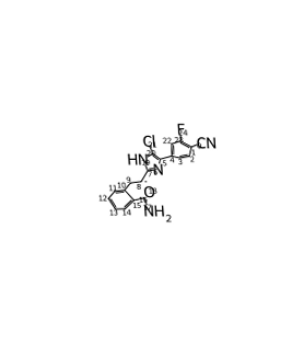 N#Cc1ccc(-c2nc([CH]Cc3ccccc3C(N)=O)[nH]c2Cl)cc1F